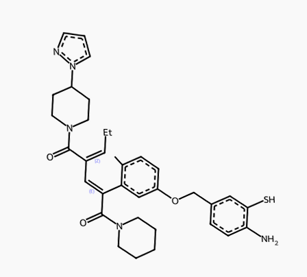 CC/C=C(/C=C(/C(=O)N1CCCCC1)c1cc(OCc2ccc(N)c(S)c2)ccc1C)C(=O)N1CCC(n2cccn2)CC1